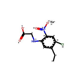 CCc1cc(NCC(=O)[O-])c([N+](=O)[O-])cc1Cl.[Na+]